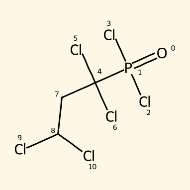 O=P(Cl)(Cl)C(Cl)(Cl)CC(Cl)Cl